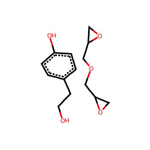 C(OCC1CO1)C1CO1.OCCc1ccc(O)cc1